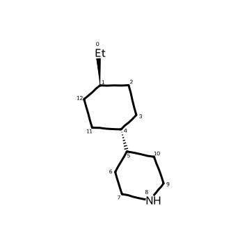 CC[C@H]1CC[C@H](C2CCNCC2)CC1